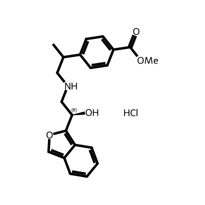 COC(=O)c1ccc(C(C)CNC[C@@H](O)c2occ3ccccc23)cc1.Cl